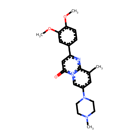 COc1ccc(-c2cc(=O)n3cc(N4CCN(C)CC4)cc(C)c3n2)cc1OC